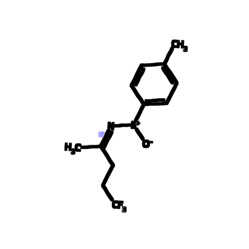 C/C(CCC(F)(F)F)=N/[S+]([O-])c1ccc(C)cc1